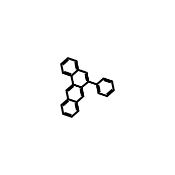 c1ccc(-c2cc3ccccc3c3cc4ccccc4cc23)cc1